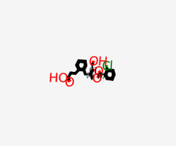 O=C(O)CCc1ccccc1C[C@@H]1CO[C@H](c2ccccc2Cl)O[C@@H]1CO